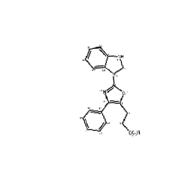 O=C(O)CCc1oc(N2CNc3ccccc32)nc1-c1ccccc1